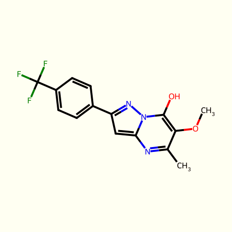 COc1c(C)nc2cc(-c3ccc(C(F)(F)F)cc3)nn2c1O